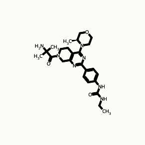 CCNC(=O)Nc1ccc(-c2nc3c(c(N4CCOC[C@@H]4C)n2)CCN(C(=O)C(C)(C)N)C3)cc1